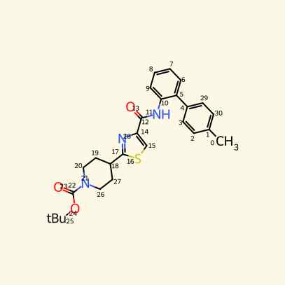 Cc1ccc(-c2ccccc2NC(=O)c2csc(C3CCN(C(=O)OC(C)(C)C)CC3)n2)cc1